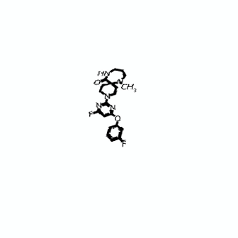 CN1CCCNC(=O)C12CCN(c1nc(F)cc(Oc3cccc(F)c3)n1)CC2